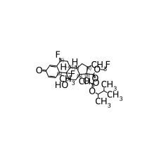 CC(C)C(C)OC(=O)O[C@@]1(C(=O)OCF)[C@H](C)C[C@H]2[C@@H]3C[C@H](F)C4=CC(=O)C=C[C@]4(C)C3(F)[C@@H](O)C[C@@]21C